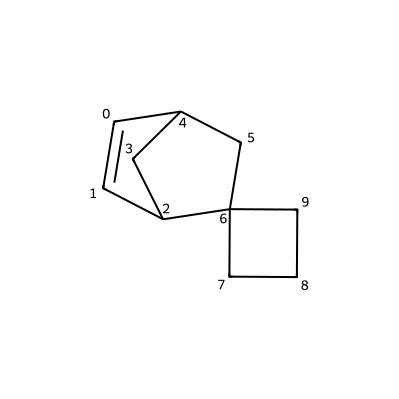 C1=CC2CC1CC21CCC1